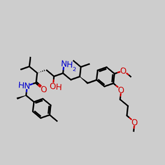 COCCCOc1cc(C[C@@H](CC(N)C(O)C[C@H](C(=O)N[C@H](C)c2ccc(C)cc2)C(C)C)C(C)C)ccc1OC